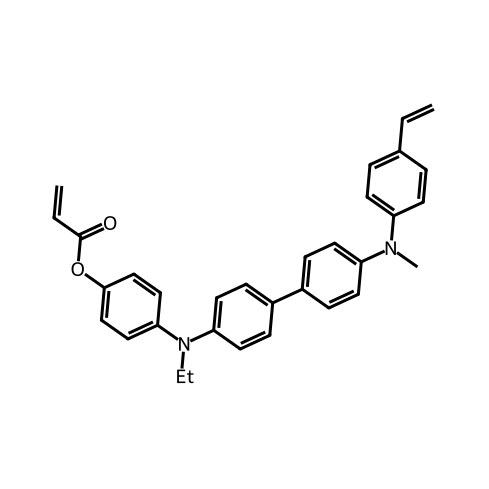 C=CC(=O)Oc1ccc(N(CC)c2ccc(-c3ccc(N(C)c4ccc(C=C)cc4)cc3)cc2)cc1